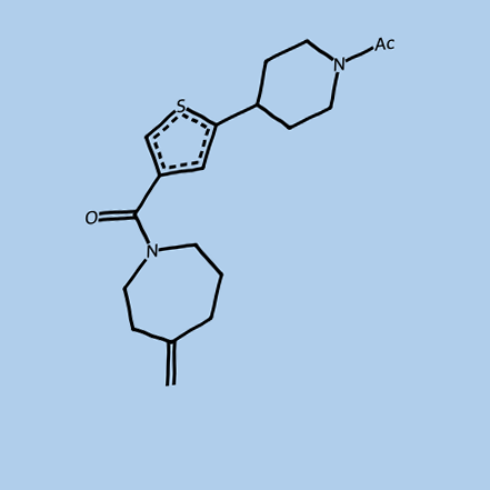 C=C1CCCN(C(=O)c2csc(C3CCN(C(C)=O)CC3)c2)CC1